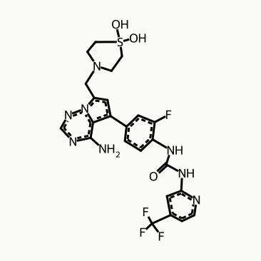 Nc1ncnn2c(CN3CCS(O)(O)CC3)cc(-c3ccc(NC(=O)Nc4cc(C(F)(F)F)ccn4)c(F)c3)c12